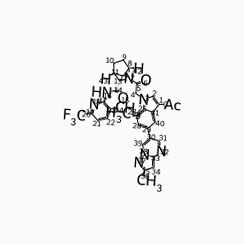 CC(=O)c1cn(CC(=O)N2[C@H]3CC[C@H](C3)[C@H]2C(=O)Nc2nc(C(F)(F)F)ccc2C)c2c(C)cc(-c3cnc4cc(C)nn4c3)cc12